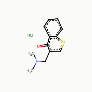 CN(C)Cc1csc2ccccc2c1=O.Cl